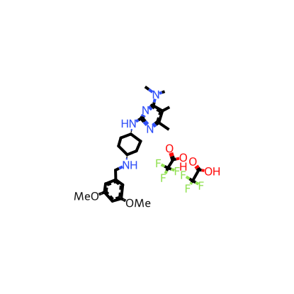 COc1cc(CN[C@H]2CC[C@@H](Nc3nc(C)c(C)c(N(C)C)n3)CC2)cc(OC)c1.O=C(O)C(F)(F)F.O=C(O)C(F)(F)F